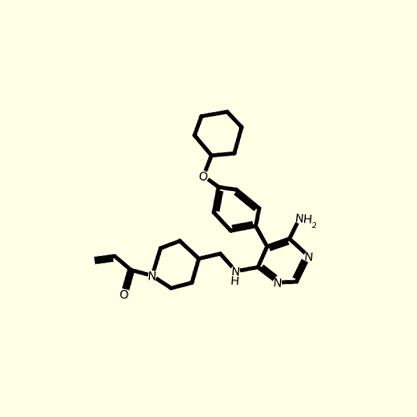 C=CC(=O)N1CCC(CNc2ncnc(N)c2-c2ccc(OC3CCCCC3)cc2)CC1